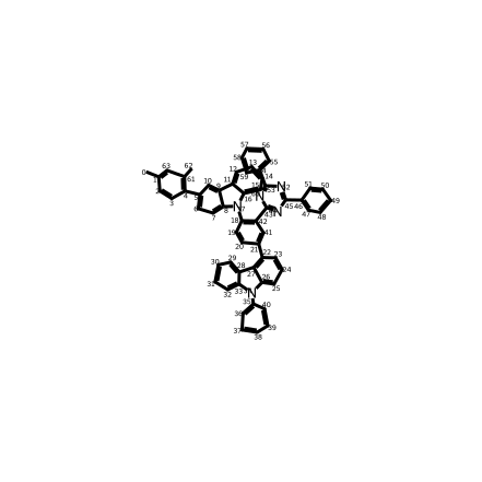 Cc1ccc(-c2ccc3c(c2)c2ccccc2n3-c2ccc(-c3cccc4c3c3ccccc3n4-c3ccccc3)cc2-c2nc(-c3ccccc3)nc(-c3ccccc3)n2)c(C)c1